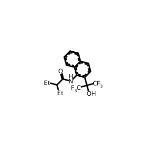 CCC(CC)C(=O)Nc1c(C(O)(C(F)(F)F)C(F)(F)F)ccc2ccccc12